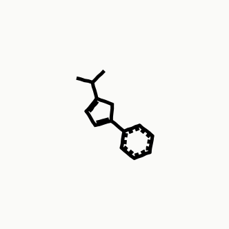 CC(C)C1=CC=C(c2ccccc2)C1